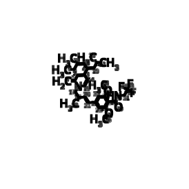 C=C1C=C(C(/C=C(/C)CC)=C/C(C)C)C=CN1CC(C)/C=C/c1cc(OC)c(C(=O)NCC(F)(F)F)c(OC)c1